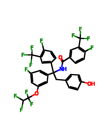 O=C(NC(Cc1ccc(O)cc1)(c1cc(F)cc(OC(F)(F)C(F)F)c1)c1ccc(F)c(C(F)(F)F)c1)c1ccc(F)c(C(F)(F)F)c1